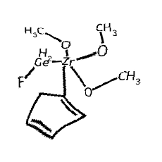 C[O][Zr]([O]C)([O]C)([GeH2][F])[C]1=CC=CC1